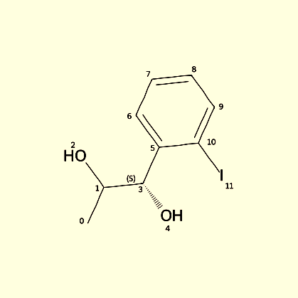 CC(O)[C@@H](O)c1ccccc1I